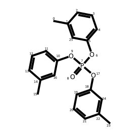 Cc1cccc(OP(=O)(Oc2cccc(C)c2)Oc2cccc(C)c2)c1